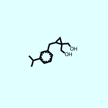 CC(C)c1[c]c(CC2CC2(CO)CO)ccc1